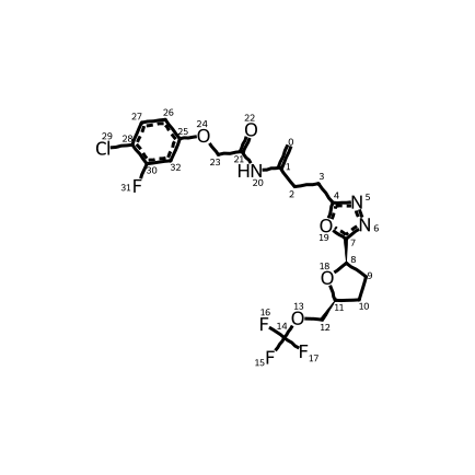 C=C(CCc1nnc([C@H]2CC[C@@H](COC(F)(F)F)O2)o1)NC(=O)COc1ccc(Cl)c(F)c1